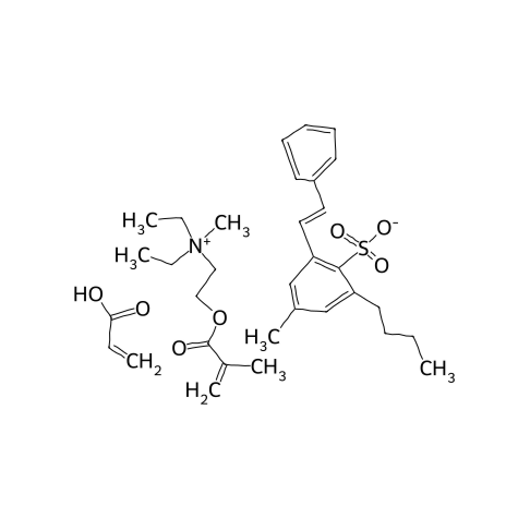 C=C(C)C(=O)OCC[N+](C)(CC)CC.C=CC(=O)O.CCCCc1cc(C)cc(C=Cc2ccccc2)c1S(=O)(=O)[O-]